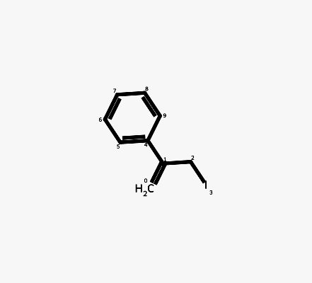 C=C(CI)c1ccccc1